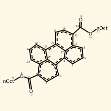 CCCCCCCCOC(=O)c1ccc2c3cccc4c(C(=O)OCCCCCCCC)ccc(c5cccc1c52)c43